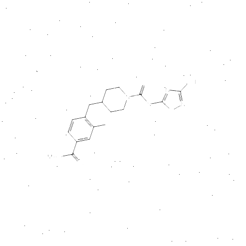 COC(=O)c1ccc(CC2CCN(C(=O)Nc3nc(C)ns3)CC2)c(F)c1